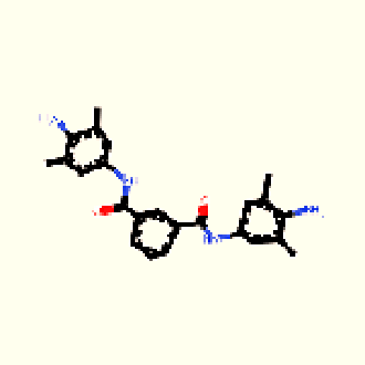 Cc1cc(NC(=O)c2cccc(C(=O)Nc3cc(C)c(N)c(C)c3)c2)cc(C)c1N